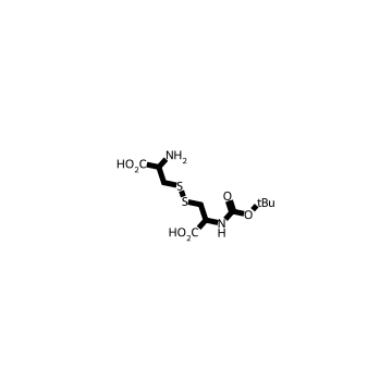 CC(C)(C)OC(=O)NC(CSSCC(N)C(=O)O)C(=O)O